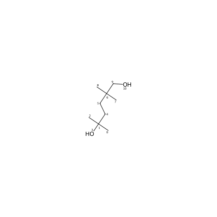 CC(C)(O)CCC(C)(C)CO